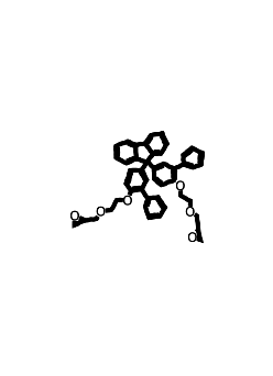 c1ccc(-c2cc(C3(c4ccc(OCCOCC5CO5)c(-c5ccccc5)c4)c4ccccc4-c4ccccc43)ccc2OCCOCC2CO2)cc1